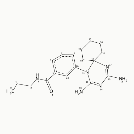 CCCNC(=O)c1cccc(N2C(N)=NC(N)=NC23CCCCC3)c1